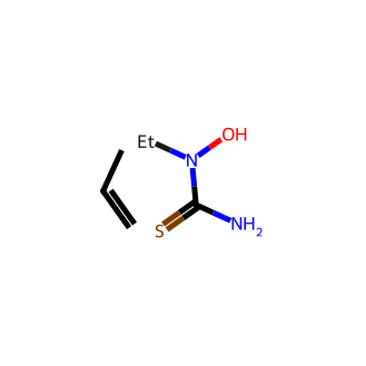 C=CC.CCN(O)C(N)=S